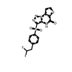 O=c1[nH]c2c(S(=O)(=O)c3ccc(CC(F)F)cc3)nnn2c2ccsc12